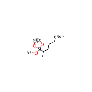 CCCCCCCCCCCCC(C)[Si](OCC)(OCC)OCC